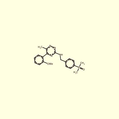 COc1ccccc1-c1nc(NCc2ccc(P(C)(C)=O)cc2)nnc1C